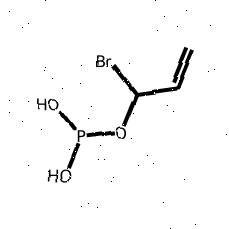 C=CC(Br)OP(O)O